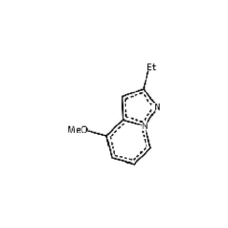 CCc1cc2c(OC)cccn2n1